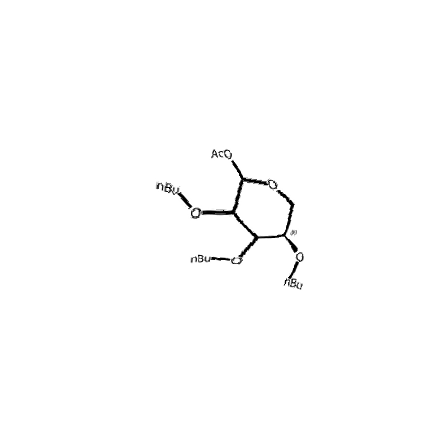 CCCCOC1C(OC(C)=O)OC[C@@H](OCCCC)C1OCCCC